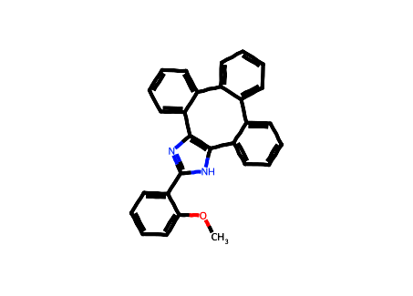 COc1ccccc1-c1nc2c([nH]1)-c1ccccc1-c1ccccc1-c1ccccc1-2